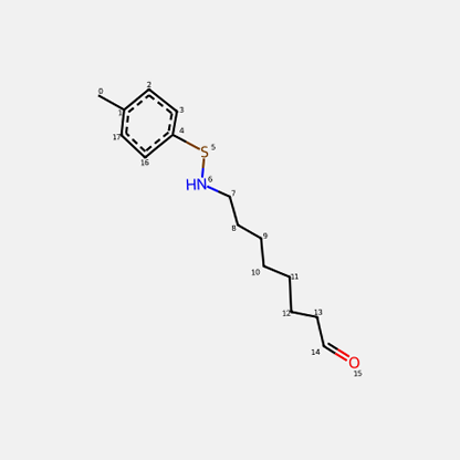 Cc1ccc(SNCCCCCCCC=O)cc1